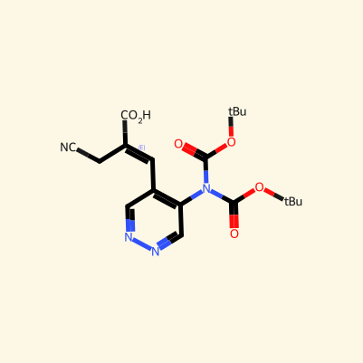 CC(C)(C)OC(=O)N(C(=O)OC(C)(C)C)c1cnncc1/C=C(\CC#N)C(=O)O